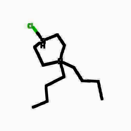 CCCC[Si]1(CCCC)CC[SiH](Cl)CC1